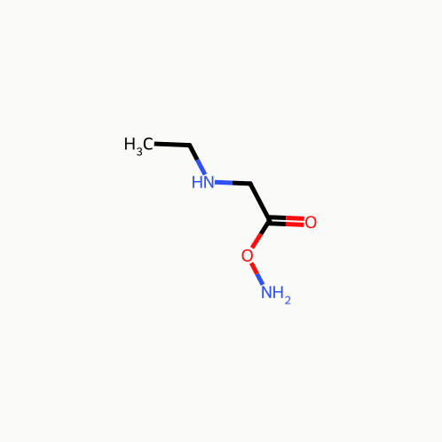 CCNCC(=O)ON